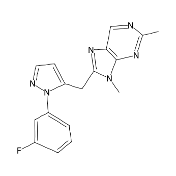 Cc1ncc2nc(Cc3ccnn3-c3cccc(F)c3)n(C)c2n1